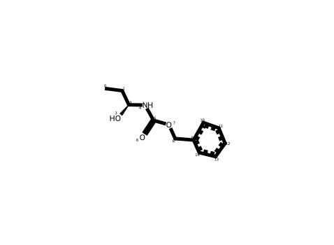 CC[C@H](O)NC(=O)OCc1ccccc1